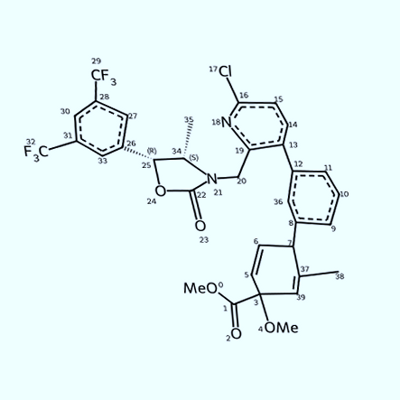 COC(=O)C1(OC)C=CC(c2cccc(-c3ccc(Cl)nc3CN3C(=O)O[C@H](c4cc(C(F)(F)F)cc(C(F)(F)F)c4)[C@@H]3C)c2)C(C)=C1